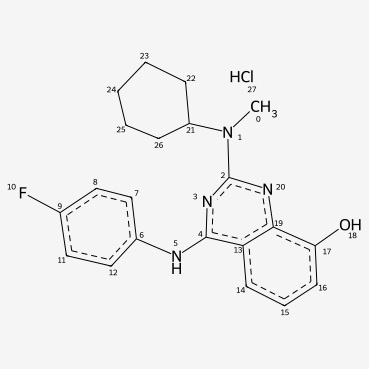 CN(c1nc(Nc2ccc(F)cc2)c2cccc(O)c2n1)C1CCCCC1.Cl